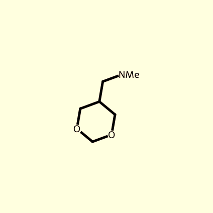 CNCC1COCOC1